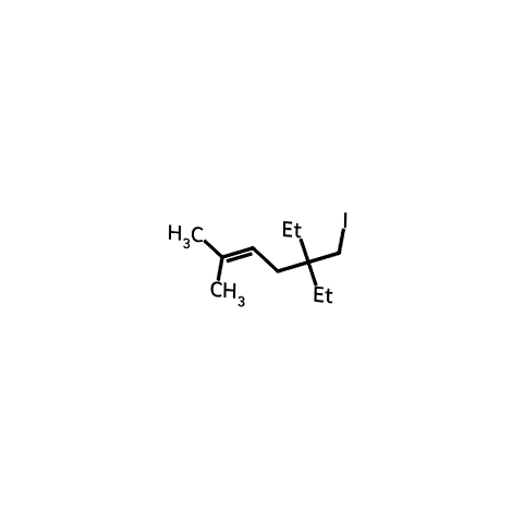 CCC(CC)(CI)CC=C(C)C